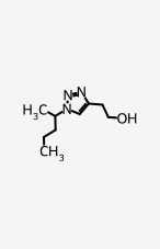 CCCC(C)n1cc(CCO)nn1